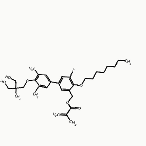 C=C(C)C(=O)OCc1cc(-c2cc(C)c(OCC(C)(CO)CO)c(C)c2)cc(F)c1OCCCCCCCC